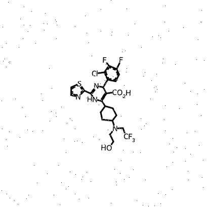 O=C(O)C1=C(C2CCC(N(CCO)CC(F)(F)F)CC2)NC(c2nccs2)=NC1c1ccc(F)c(F)c1Cl